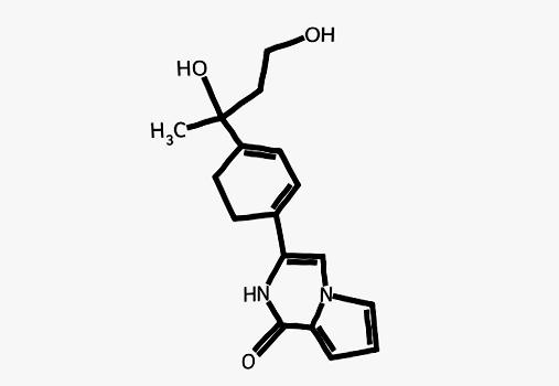 CC(O)(CCO)C1=CC=C(c2cn3cccc3c(=O)[nH]2)CC1